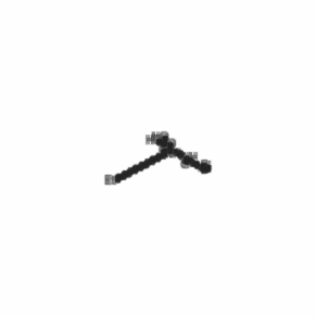 CCC=CCC=CCC=CCC=CCC=CCCCC(=O)N[C@@H](CCCCNC(=O)CCCC[C@@H]1CCSS1)C(=O)OC(CO)CO